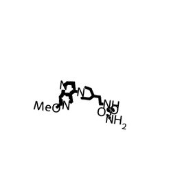 COc1cc2nccc(N3CCC(CCNS(N)(=O)=O)CC3)c2cn1